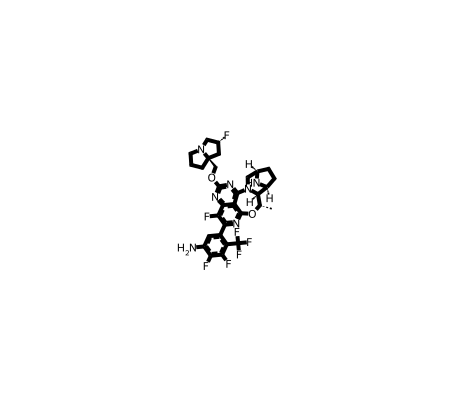 C[C@@H]1Oc2nc(-c3cc(N)c(F)c(F)c3C(F)(F)F)c(F)c3nc(OC[C@@]45CCCN4C[C@H](F)C5)nc(c23)N2C[C@H]3CC[C@H](N3)[C@@H]12